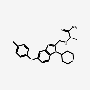 Cc1ccc(Oc2ccc3c(c2)nc(CN[C@@H](C)C(N)=O)n3C2CCOCC2)cc1